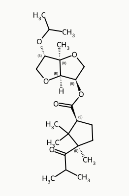 CC(C)O[C@H]1CO[C@@H]2[C@H](OC(=O)[C@H]3CC[C@@](C)(C(=O)C(C)C)C3(C)C)CO[C@]12C